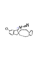 N#C/N=C1/c2cc(Cl)ccc2CC12CCc1ccccc1CC2